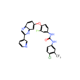 O=C(Nc1ccc(Oc2ccc3ncc(-c4cccnc4)nc3c2)c(F)c1)Nc1ccc(Cl)c(C(F)(F)F)c1